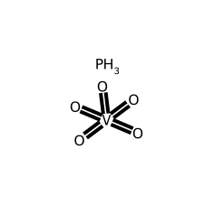 P.[O]=[V](=[O])(=[O])(=[O])=[O]